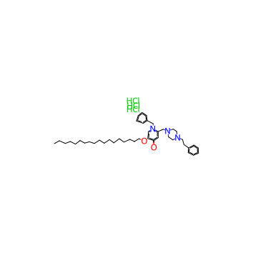 CCCCCCCCCCCCCCCCCCOc1cn(Cc2ccccc2)c(CN2CCN(CCc3ccccc3)CC2)cc1=O.Cl.Cl.Cl